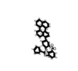 O=S1(=O)c2cc(-c3ccc4c5cccc6cccc(c7cccc3c74)c65)ccc2-n2c(-c3ccccc3)nc3cccc1c32